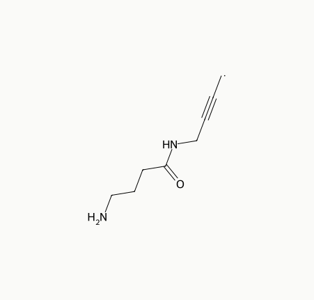 [CH2]C#CCNC(=O)CCCN